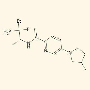 C=C(N[C@H](C)C(F)(P)CC)c1ccc(N2CCC(C)C2)cn1